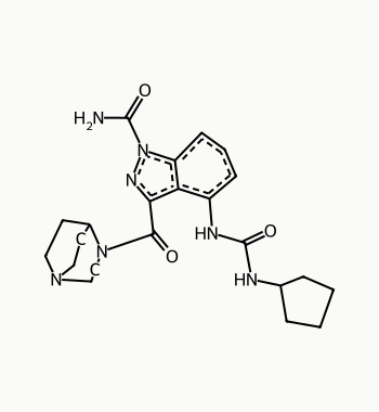 NC(=O)n1nc(C(=O)N2CCN3CCC2CC3)c2c(NC(=O)NC3CCCC3)cccc21